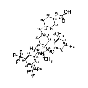 Cc1cc(F)ccc1[C@H]1CN(C[C@H]2CC[C@@H](CC(=O)O)CC2)CC[C@@H]1C(=O)N(C)[C@@H](C)c1cc(C(F)(F)F)cc(C(F)(F)F)c1